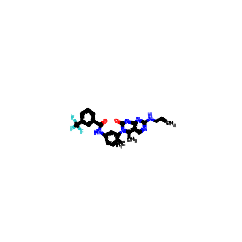 C=CCNc1ncc2c(C)n(-c3cc(NC(=O)c4cccc(C(F)(F)F)c4)ccc3C)c(=O)nc2n1